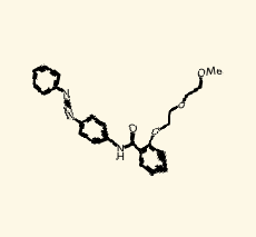 COCCOCCOc1ccccc1C(=O)Nc1ccc(N=Nc2ccccc2)cc1